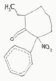 CC1CCCC(c2ccccc2)([N+](=O)[O-])C1=O